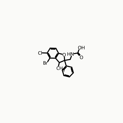 CC1c2c(ccc(Cl)c2Br)OC1(CNC(=O)O)c1ccccc1